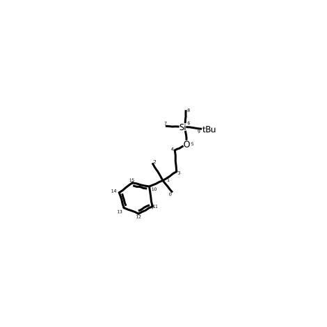 CC(C)(CCO[Si](C)(C)C(C)(C)C)c1[c]cccc1